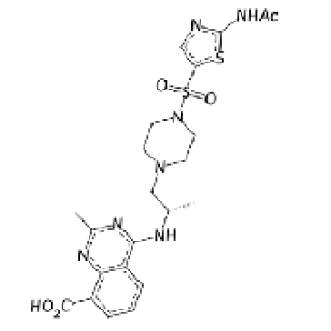 CC(=O)Nc1ncc(S(=O)(=O)N2CCN(C[C@H](C)Nc3nc(C)nc4c(C(=O)O)cccc34)CC2)s1